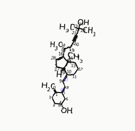 C=C1CC[C@@H](O)C/C1=C/C=C1\CCC[C@]2(C)C([C@H](C)CC#CC(C)(C)O)=CC[C@@H]12